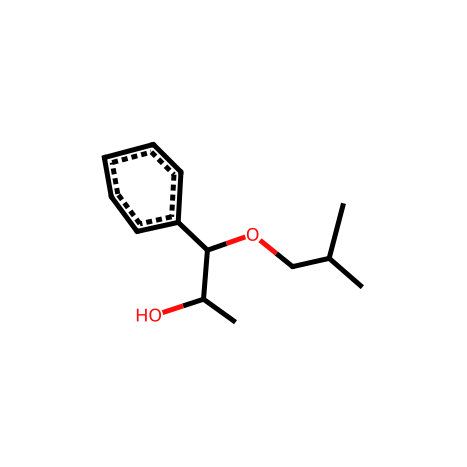 CC(C)COC(c1ccccc1)C(C)O